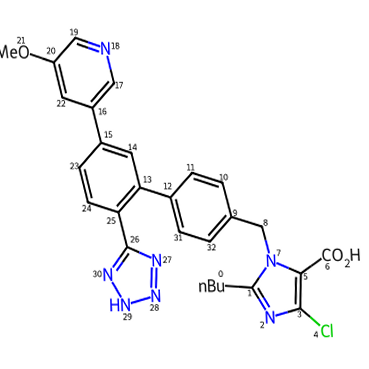 CCCCc1nc(Cl)c(C(=O)O)n1Cc1ccc(-c2cc(-c3cncc(OC)c3)ccc2-c2nn[nH]n2)cc1